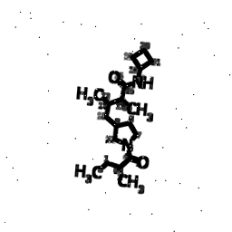 CC[C@@H](C)C(=O)N1CCC(CC(C)[C@H](C)C(=O)NC2CCC2)C1